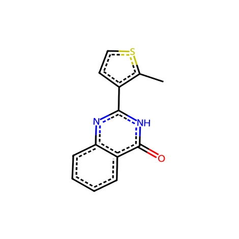 Cc1sccc1-c1nc2ccccc2c(=O)[nH]1